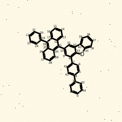 c1ccc(-c2ccc(-c3cc(-c4c5ccccc5c(-c5ccccc5)c5ccccc45)cc4c3oc3ccccc34)cc2)cc1